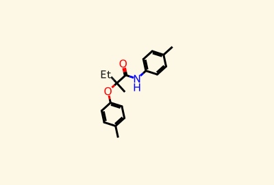 CCC(C)(Oc1ccc(C)cc1)C(=O)Nc1ccc(C)cc1